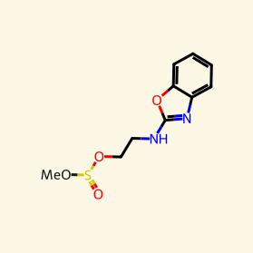 COS(=O)OCCNc1nc2ccccc2o1